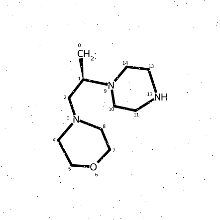 [CH2][C@H](CN1CCOCC1)N1CCNCC1